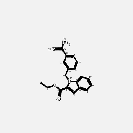 CCOC(=O)c1cc2ccccc2n1Cc1cccc(C(N)=S)c1